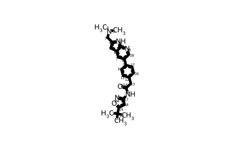 CN(C)Cc1cc2cc(-c3ccc(CC(=O)Nc4cc(C(C)(C)C)on4)cc3)cnc2[nH]1